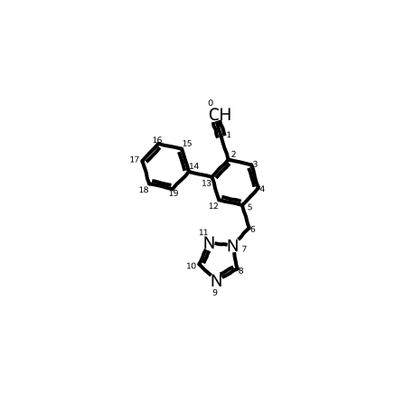 C#Cc1ccc(Cn2cncn2)cc1-c1ccccc1